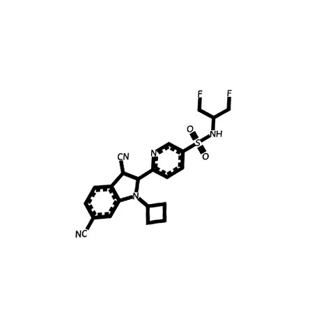 N#Cc1ccc2c(c1)N(C1CCC1)C(c1ccc(S(=O)(=O)NC(CF)CF)cn1)C2C#N